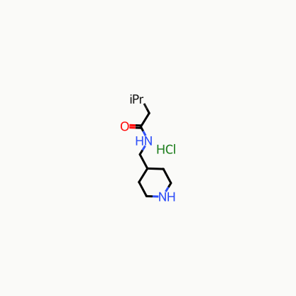 CC(C)CC(=O)NCC1CCNCC1.Cl